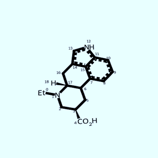 CCN1C[C@H](C(=O)O)CC2c3cccc4[nH]cc(c34)C[C@H]21